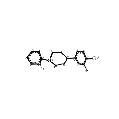 Fc1cc(C2CCN(c3ccccn3)CC2)ccc1Cl